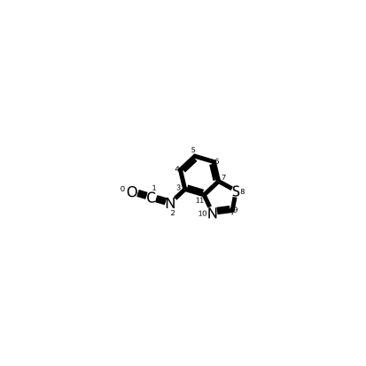 O=C=Nc1cccc2s[c]nc12